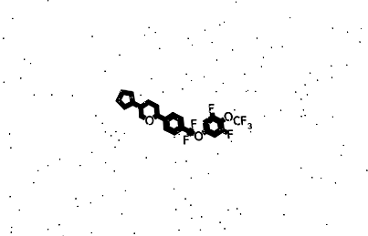 Fc1cc(OC(F)(F)c2ccc(C3CCC(C4CCCC4)CO3)cc2)cc(F)c1OC(F)(F)F